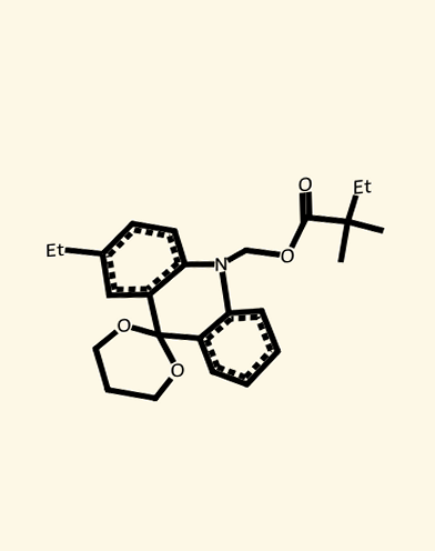 CCc1ccc2c(c1)C1(OCCCO1)c1ccccc1N2COC(=O)C(C)(C)CC